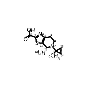 CC1(N2CCc3nc(C(=O)O)sc3C2)CC1.[LiH]